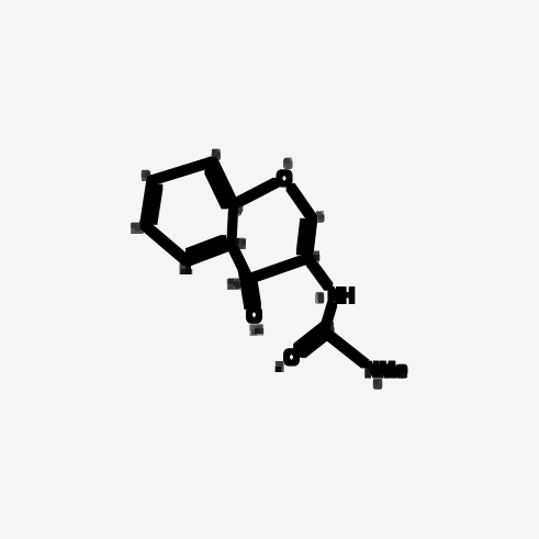 CNC(=O)Nc1coc2ccccc2c1=O